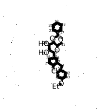 CCOc1ccc(Cc2cc(C3OC4COC(c5ccccc5)OC4C(O)C3O)ccc2Cl)cc1